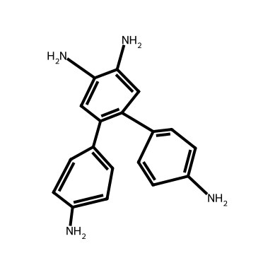 Nc1ccc(-c2cc(N)c(N)cc2-c2ccc(N)cc2)cc1